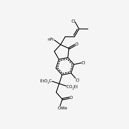 CCCC1(C/C=C(/C)Cl)Cc2cc(C(CC(=O)OC)(C(=O)OCC)C(=O)OCC)c(Cl)c(Cl)c2C1=O